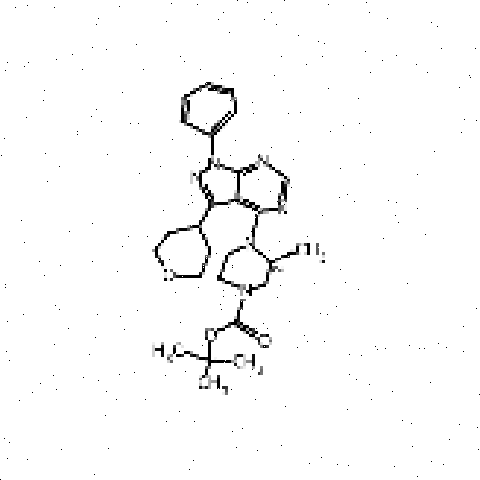 C[C@H]1CN(C(=O)OC(C)(C)C)CCN1c1ncnc2c1c(C1CCOCC1)nn2-c1ccccc1